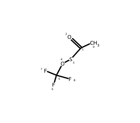 CC(=O)SOC(F)(F)F